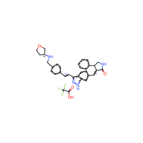 O=C(O)C(F)(F)F.O=C1NCC(c2ccccc2)/C1=C\c1ccc2c(/C=C/c3ccc(CN[C@H]4CCOC4)cc3)n[nH]c2c1